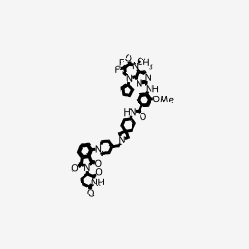 COc1cc(C(=O)NC2CCC3(CC2)CN(CC2CCN(c4cccc5c4C(=O)N(C4CCC(=O)NC4=O)C5=O)CC2)C3)ccc1Nc1ncc2c(n1)N(C1CCCC1)CC(F)(F)C(=O)N2C